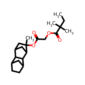 CCC(C)(C)C(=O)OCC(=O)OC1(C)CC2CC1C1C3CCC(C3)C21